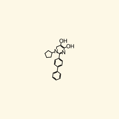 OC1=C(O)N=C(c2ccc(-c3ccccc3)cc2)N(C2CCCC2)C1